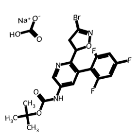 CC(C)(C)OC(=O)Nc1cnc(C2CC(Br)=NO2)c(-c2c(F)cc(F)cc2F)c1.O=C([O-])O.[Na+]